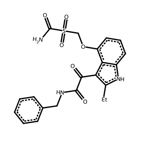 CCc1[nH]c2cccc(OCS(=O)(=O)C(N)=O)c2c1C(=O)C(=O)NCc1ccccc1